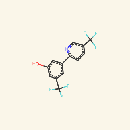 Oc1cc(-c2ccc(C(F)(F)F)cn2)cc(C(F)(F)F)c1